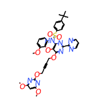 COc1cc(OC)nc(OCC#CCOc2nc(-c3ncccn3)nc(NS(=O)(=O)c3ccc(C(C)(C)C)cc3)c2Oc2ccccc2OC)n1